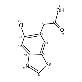 O=C(O)Cc1cc2[se]cnc2cc1Cl